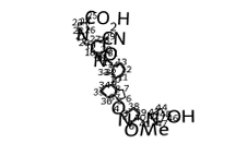 COc1nc(O[C@H]2CCc3c(-c4cccc(-c5nc6cc(CN7CC[C@@H](C(=O)O)C7)cc(C#N)c6o5)c4C)cccc32)ccc1CN1CC[C@@H](O)C1